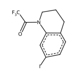 O=C(N1CCCc2ccc(I)cc21)C(F)(F)F